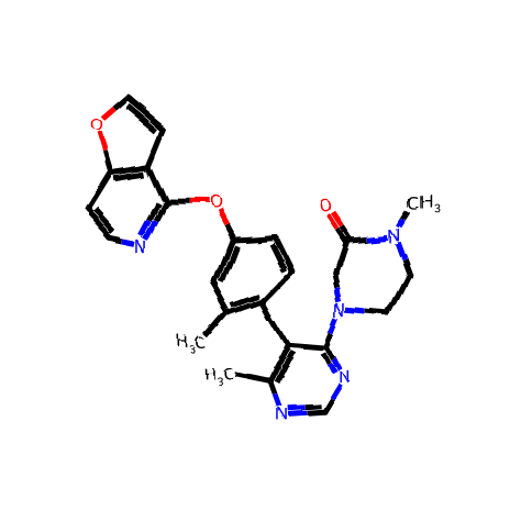 Cc1cc(Oc2nccc3occc23)ccc1-c1c(C)ncnc1N1CCN(C)C(=O)C1